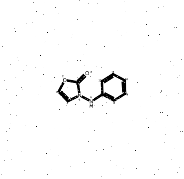 O=c1occn1Nc1ccccc1